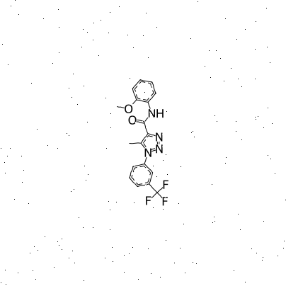 COc1ccccc1NC(=O)c1nnn(-c2cccc(C(F)(F)F)c2)c1C